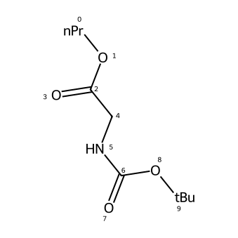 CCCOC(=O)CNC(=O)OC(C)(C)C